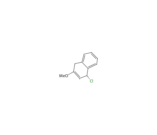 COC1=[C]C(Cl)c2ccccc2C1